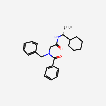 O=C(CN(Cc1ccccc1)C(=O)c1ccccc1)N[C@H](C(=O)O)C1CCCCC1